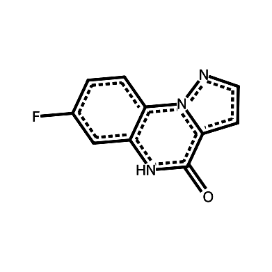 O=c1[nH]c2cc(F)ccc2n2nccc12